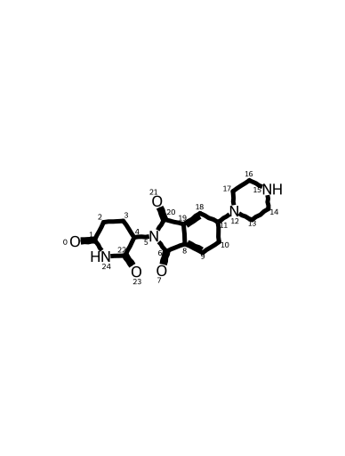 O=C1CCC(N2C(=O)C3=CCC(N4CCNCC4)C=C3C2=O)C(=O)N1